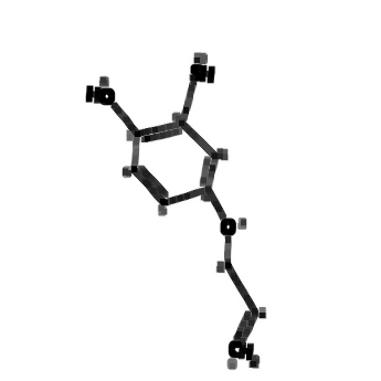 C=CCOc1ccc(O)c(S)c1